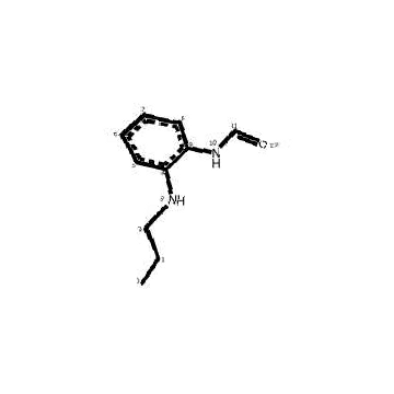 CCCNc1ccccc1NC=O